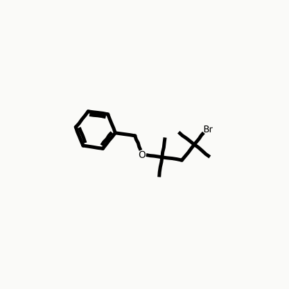 CC(C)(Br)CC(C)(C)OCc1ccccc1